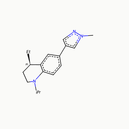 CC[C@@H]1CCN(C(C)C)c2ccc(-c3cnn(C)c3)cc21